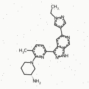 CCn1cc(-c2cc3c(-c4ccc(C)c(N5CCC[C@@H](N)C5)n4)n[nH]c3cn2)cn1